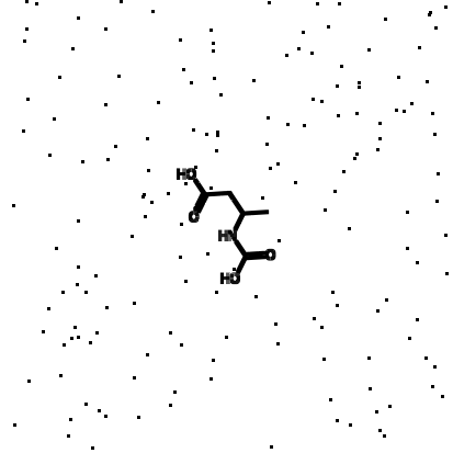 CC(CC(=O)O)NC(=O)O